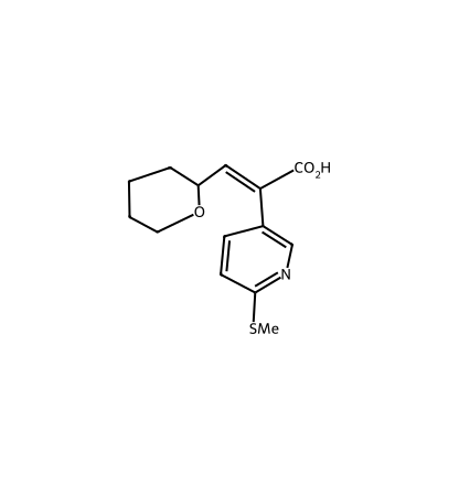 CSc1ccc(/C(=C\C2CCCCO2)C(=O)O)cn1